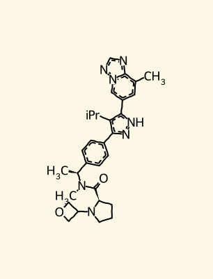 Cc1cc(-c2[nH]nc(-c3ccc([C@H](C)N(C)C(=O)[C@H]4CCCN4C4COC4)cc3)c2C(C)C)cn2ncnc12